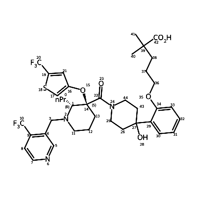 CCC[C@H]1N(Cc2cnccc2C(F)(F)F)CCC[C@@]1(Oc1csc(C(F)(F)F)c1)C(=O)N1CCC(O)(c2ccccc2OCCCC(C)(C)C(=O)O)CC1